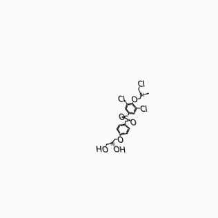 C[C@H](CCl)COc1c(Cl)cc(S(=O)(=O)c2ccc(OC[C@H](O)CO)cc2)cc1Cl